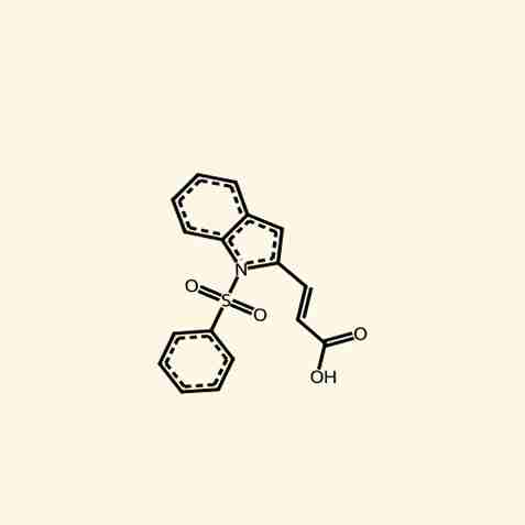 O=C(O)C=Cc1cc2ccccc2n1S(=O)(=O)c1ccccc1